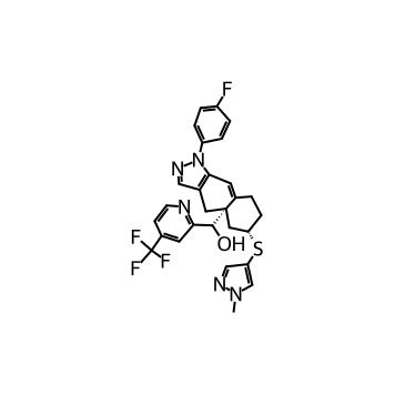 Cn1cc(S[C@H]2CCC3=Cc4c(cnn4-c4ccc(F)cc4)C[C@]3(C(O)c3cc(C(F)(F)F)ccn3)C2)cn1